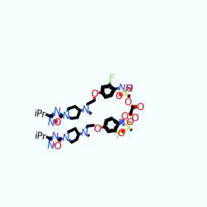 CC(C)c1noc(N2CCC(N(C)CCOc3ccc(NS(=O)(=O)COC(=O)C(=O)ON(c4ccc(OCCN(C)C5CCN(c6nc(C(C)C)no6)CC5)cc4F)S(C)(=O)=O)c(F)c3)CC2)n1